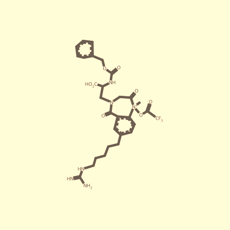 C[N+]1(OC(=O)C(F)(F)F)C(=O)CN(CC(NC(=O)OCc2ccccc2)C(=O)O)C(=O)c2cc(CCCCCNC(=N)N)ccc21